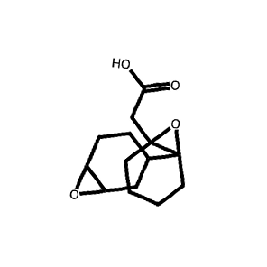 O=C(O)CC12CCCCC1(C1CCC3OC3C1)O2